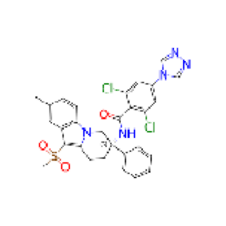 Cc1ccc2c(c1)c(S(C)(=O)=O)c1n2C[C@@](NC(=O)c2c(Cl)cc(-n3cnnc3)cc2Cl)(c2ccccc2)CC1